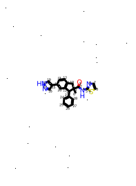 CC1(C(=O)Nc2nccs2)Cc2ccc(-c3cn[nH]c3)cc2C1c1ccccc1